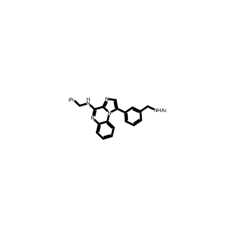 CC(=O)NCc1cccc(-c2cnc3c(NCC(C)C)nc4ccccc4n23)c1